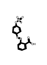 O=C(O)c1ccccc1N=Nc1ccc(OS(=O)(=O)F)cc1